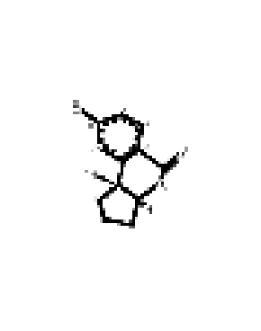 O=C1O[C@@H]2CCC[C@@H]2c2nc(Cl)ccc21